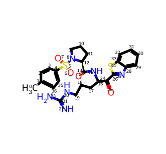 Cc1ccc(S(=O)(=O)N2CCC[C@H]2C(=O)NC(CCCNC(=N)N)C(=O)c2nc3ccccc3s2)cc1